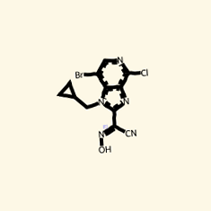 N#C/C(=N\O)c1nc2c(Cl)ncc(Br)c2n1CC1CC1